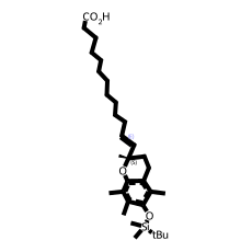 Cc1c(C)c2c(c(C)c1O[Si](C)(C)C(C)(C)C)CC[C@@](C)(/C=C/CCCCCCCCCCC(=O)O)O2